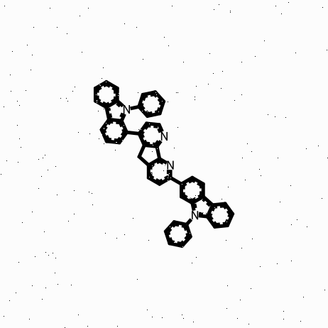 c1ccc(-n2c3ccccc3c3ccc(-c4ccc5c(n4)-c4nccc(-c6cccc7c8ccccc8n(-c8ccccc8)c67)c4C5)cc32)cc1